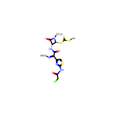 CCCSC(=S)S[C@H]1[C@H](NC(=O)C(=NOC)c2csc(NC(=O)CCl)n2)C(=O)N1S(=O)(=O)O